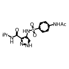 CC(=O)Nc1ccc(S(=O)(=O)Nc2c[nH]nc2C(=O)NC(C)C)cc1